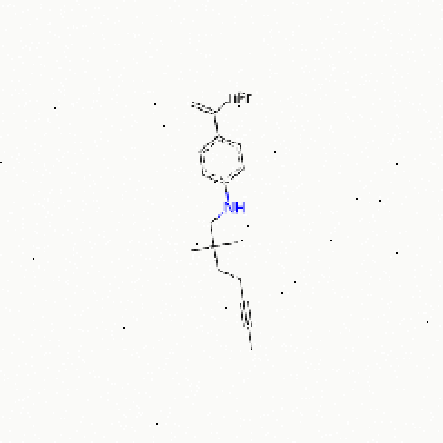 C=C(CCC)c1ccc(NCC(C)(C)CCC#CC)cc1